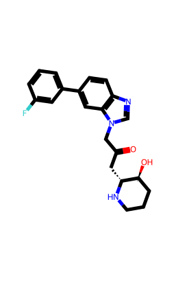 O=C(C[C@H]1NCCC[C@@H]1O)Cn1cnc2ccc(-c3cccc(F)c3)cc21